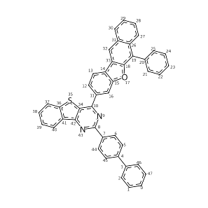 c1ccc(-c2ccc(-c3nc(-c4ccc5c(c4)oc4c(-c6ccccc6)c6ccccc6cc45)c4sc5ccccc5c4n3)cc2)cc1